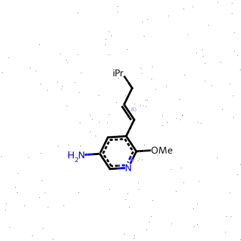 COc1ncc(N)cc1/C=C/CC(C)C